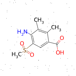 Cc1c(C(=O)O)cc(S(C)(=O)=O)c(N)c1C